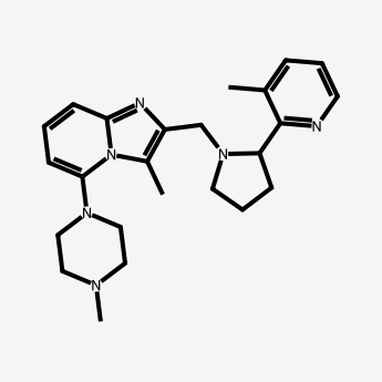 Cc1cccnc1C1CCCN1Cc1nc2cccc(N3CCN(C)CC3)n2c1C